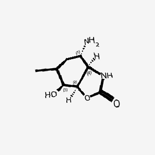 CC1C[C@H](N)[C@H]2NC(=O)O[C@H]2[C@H]1O